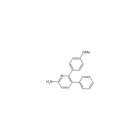 COc1ccc(-c2nc(N)ccc2-c2ccccc2)cc1